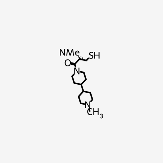 CN[C@H](CS)C(=O)N1CCC(C2CCN(C)CC2)CC1